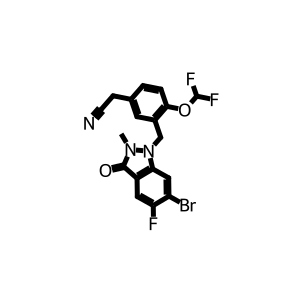 Cn1c(=O)c2cc(F)c(Br)cc2n1Cc1cc(CC#N)ccc1OC(F)F